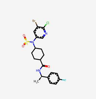 C[C@@H](NC(=O)C1CCC(N(c2cnc(Cl)c(Br)c2)[SH](=O)=O)CC1)c1ccc(F)cc1